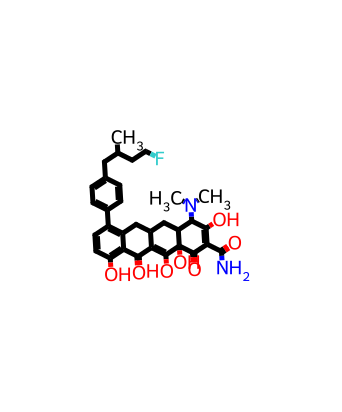 CC(CCF)Cc1ccc(-c2ccc(O)c3c2CC2CC4C(N(C)C)C(O)=C(C(N)=O)C(=O)C4(O)C(O)=C2C3=O)cc1